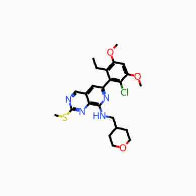 CCc1c(OC)cc(OC)c(Cl)c1-c1cc2cnc(SC)nc2c(NCC2CCOCC2)n1